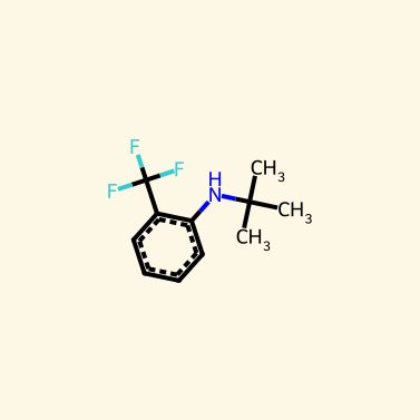 CC(C)(C)Nc1ccccc1C(F)(F)F